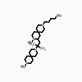 CC(C)(C)CCCCN1CCC2(CC1)CCN(C(C)(C)C)C(CC(C)(C)N1CCC3(CCN(C(C)(C)C)CC3)CC1)C2